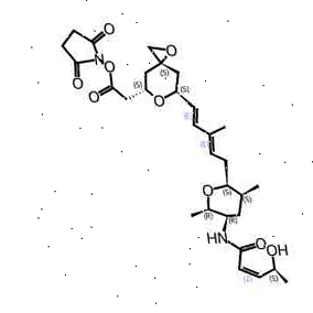 CC(/C=C/[C@@H]1C[C@]2(CO2)C[C@@H](CC(=O)ON2C(=O)CCC2=O)O1)=C\C[C@@H]1O[C@H](C)[C@H](NC(=O)/C=C\[C@H](C)O)C[C@@H]1C